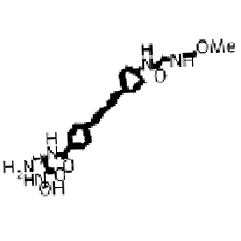 COCCNCC(=O)Nc1ccc(C#CC#Cc2ccc(C(=O)N[C@@H](CN)C(=O)NO)cc2)cc1